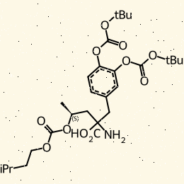 CC(C)CCOC(=O)O[C@@H](C)CC(N)(Cc1ccc(OC(=O)OC(C)(C)C)c(OC(=O)OC(C)(C)C)c1)C(=O)O